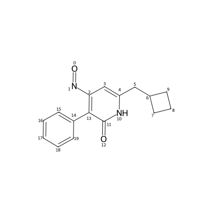 O=Nc1cc(CC2CCC2)[nH]c(=O)c1-c1ccccc1